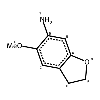 COc1cc2c(cc1N)OCC2